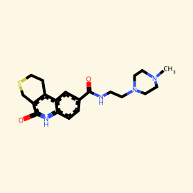 CN1CCN(CCNC(=O)c2ccc3[nH]c(=O)c4c(c3c2)CCSC4)CC1